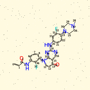 C=CC(=O)Nc1cccc(-n2ccc(=O)c3cnc(Nc4ccc(N5CCN(C)CC5)c(F)c4)nc32)c1F